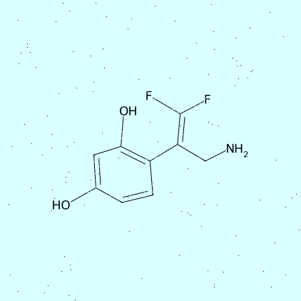 NCC(=C(F)F)c1ccc(O)cc1O